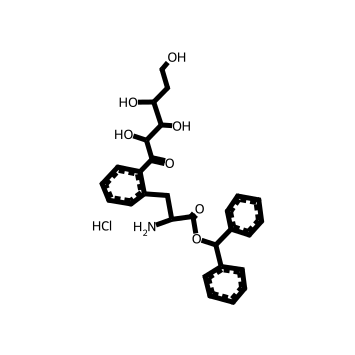 Cl.NC(Cc1ccccc1C(=O)C(O)C(O)C(O)CCO)C(=O)OC(c1ccccc1)c1ccccc1